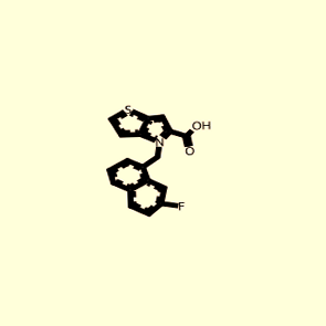 O=C(O)c1cc2sccc2n1Cc1cccc2ccc(F)cc12